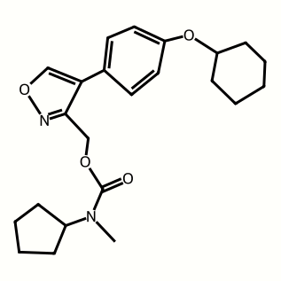 CN(C(=O)OCc1nocc1-c1ccc(OC2CCCCC2)cc1)C1CCCC1